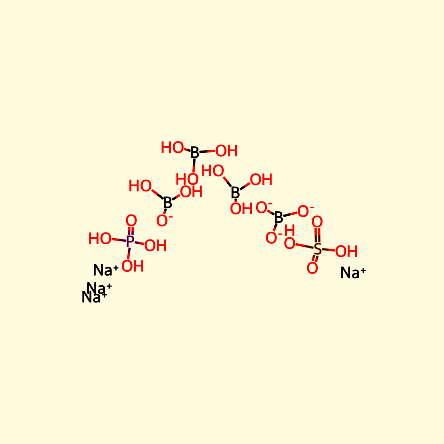 O=P(O)(O)O.O=S(=O)(O)O.OB(O)O.OB(O)O.[Na+].[Na+].[Na+].[Na+].[O-]B(O)O.[O-]B([O-])[O-]